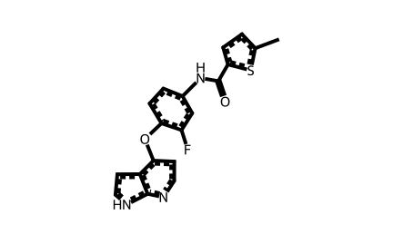 Cc1ccc(C(=O)Nc2ccc(Oc3ccnc4[nH]ccc34)c(F)c2)s1